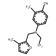 Cc1ccoc1CN(CC(F)(F)F)c1ccc(C#N)c(C(F)(F)F)c1